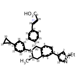 CCn1cc(-c2ccc3c(c2)C[C@@H](C)N(c2ccc(C4CC4)cc2)[C@@H]3c2ccc(/C=C/C(=O)O)cc2)cn1